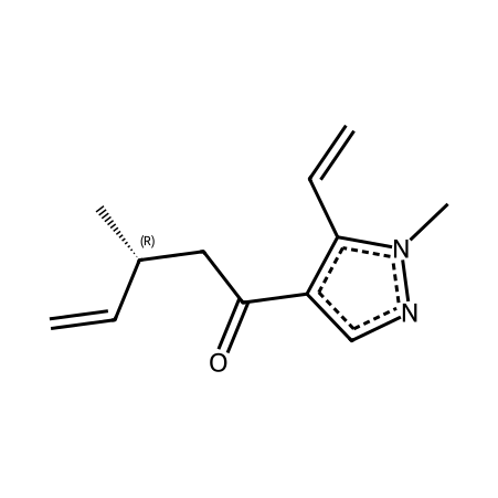 C=Cc1c(C(=O)C[C@@H](C)C=C)cnn1C